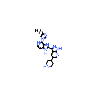 Cc1cn(-c2nccc3[nH]c(-c4n[nH]c5ncc(C6CCNCC6)cc45)nc23)cn1